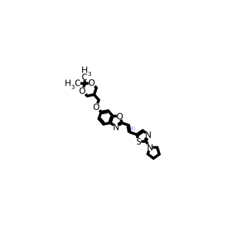 CC1(C)OCC(COc2ccc3nc(/C=C/c4cnc(N5CCCC5)s4)oc3c2)CO1